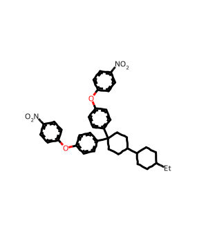 CCC1CCC(C2CCC(c3ccc(Oc4ccc([N+](=O)[O-])cc4)cc3)(c3ccc(Oc4ccc([N+](=O)[O-])cc4)cc3)CC2)CC1